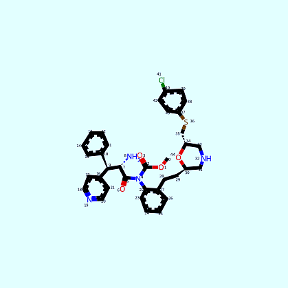 COC(=O)N(C(=O)[C@@H](N)[C@H](c1ccccc1)c1ccncc1)c1ccccc1CC[C@@H]1CNC[C@@H](CSc2ccc(Cl)cc2)O1